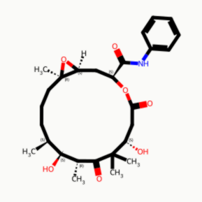 C[C@H]1CCC[C@@]2(C)O[C@H]2C[C@@H](C(=O)Nc2ccccc2)OC(=O)C[C@H](O)C(C)(C)C(=O)[C@H](C)[C@H]1O